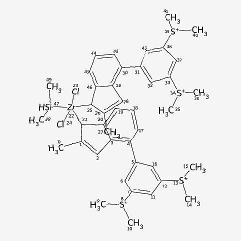 CC1=Cc2c(-c3cc([S+](C)C)cc([S+](C)C)c3)cccc2[CH]1[Zr]([Cl])([Cl])([CH]1C(C)=Cc2c(-c3cc([S+](C)C)cc([S+](C)C)c3)cccc21)[SiH](C)C